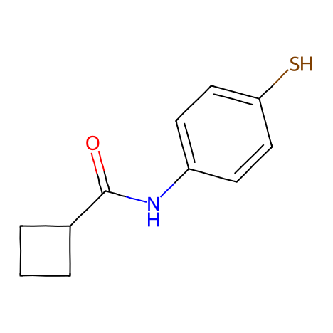 O=C(Nc1ccc(S)cc1)C1CCC1